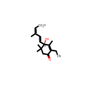 CC1=C(CC#N)C(=O)CC(C)(C)[C@]1(O)/C=C/C(C)=C\C(=O)O